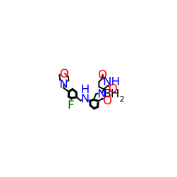 BC1(N2Cc3c(NCc4ccc(CN5CCOCC5)cc4F)cccc3C2=O)CCC(=O)NC1=O